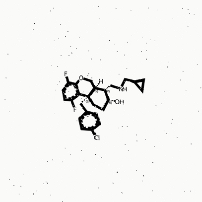 O[C@@H]1CC[C@@]2(Cc3ccc(Cl)cc3)c3c(F)ccc(F)c3OC[C@H]2[C@@H]1CNCC1CC1